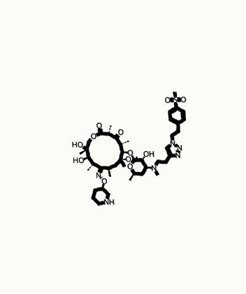 CO[C@]1(C)C[C@@H](C)/C(=N\O[C@@H]2CCCNC2)[C@H](C)[C@@H](O)[C@](C)(O)COC(=O)[C@H](C)C(=O)[C@H](C)[C@H]1O[C@@H]1O[C@H](C)C[C@H](N(C)CCc2cn(CCc3ccc(S(C)(=O)=O)cc3)nn2)[C@H]1O